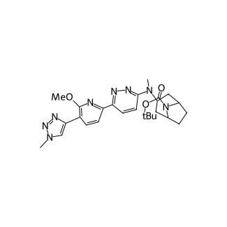 COc1nc(-c2ccc(N(C)C3CC4CCC(C3)N4C(=O)OC(C)(C)C)nn2)ccc1-c1cn(C)nn1